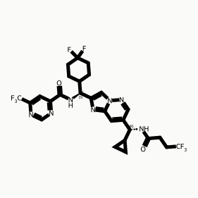 O=C(CCC(F)(F)F)N[C@@H](c1cnn2cc([C@@H](NC(=O)c3cc(C(F)(F)F)ncn3)C3CCC(F)(F)CC3)nc2c1)C1CC1